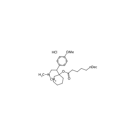 CCCCCCCCCCCCCCC(=O)OC1(C(CN(C)C)c2ccc(OC)cc2)CCCCC1.Cl